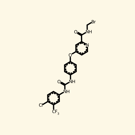 O=C(Nc1ccc(Oc2ccnc(C(=O)NCBr)c2)cc1)Nc1ccc(Cl)c(C(F)(F)F)c1